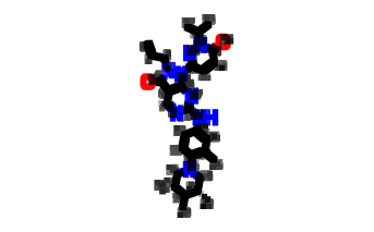 C=CCn1c(=O)c2cnc(Nc3ccc(N4C[C@@H](C)C(C)[C@@H](C)C4)c(C)c3)nc2n1-c1ccc(=O)n(C(C)C)n1